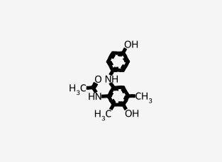 CC(=O)Nc1c(Nc2ccc(O)cc2)cc(C)c(O)c1C